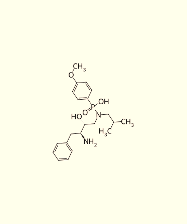 COc1ccc(P(=O)(O)N(CC(C)C)C[C@@H](O)[C@@H](N)Cc2ccccc2)cc1